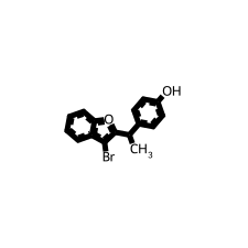 CC(c1ccc(O)cc1)c1oc2ccccc2c1Br